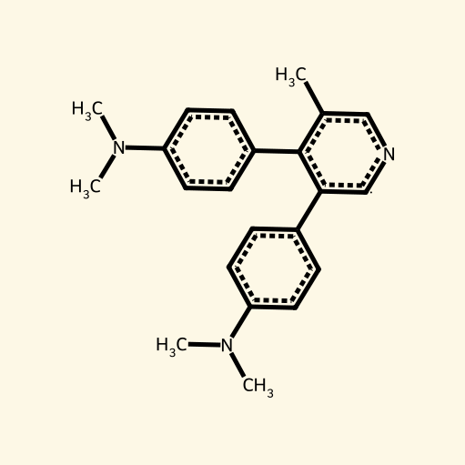 Cc1cn[c]c(-c2ccc(N(C)C)cc2)c1-c1ccc(N(C)C)cc1